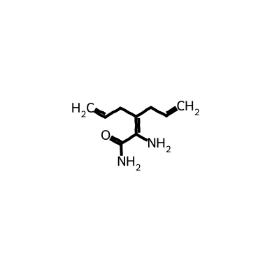 C=CCC(CC=C)=C(N)C(N)=O